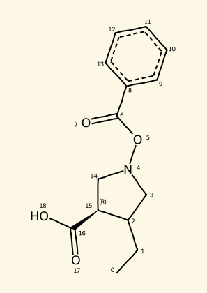 CCC1CN(OC(=O)c2ccccc2)C[C@@H]1C(=O)O